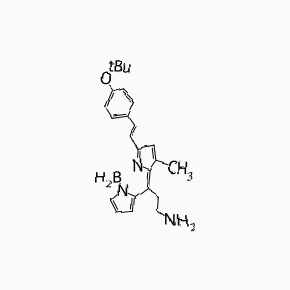 Bn1cccc1/C(CCN)=C1N=C(/C=C/c2ccc(OC(C)(C)C)cc2)C=C\1C